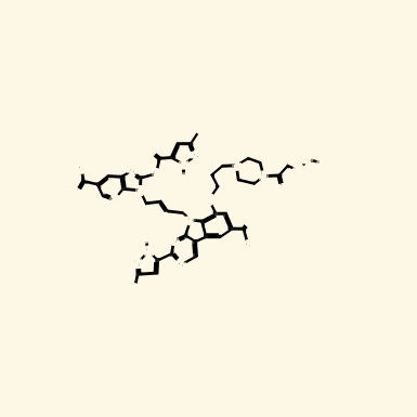 CCn1nc(C)cc1C(=O)Nc1nc2cc(C(N)=O)cnc2n1C/C=C/Cn1c2nc(-c3cc(C)nn3CC)ncc2c2cc(C(N)=O)cc(OCCCN3CCN(C(=O)CONC(=O)O)CC3)c21